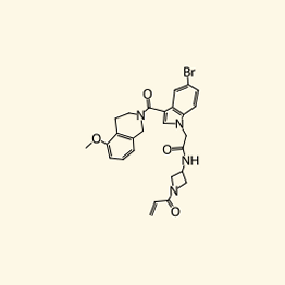 C=CC(=O)N1CC(NC(=O)Cn2cc(C(=O)N3CCc4c(cccc4OC)C3)c3cc(Br)ccc32)C1